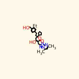 CCc1cc(CCC2(C3CCCC3)CC(O)=C(Cc3nc4nc(C)cc(C)n4n3)C(=O)O2)ccc1CO